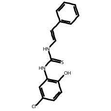 Oc1ccc(Cl)cc1NC(=S)NC=Cc1ccccc1